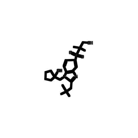 CC(C)(C)Cc1nc2cc(S(=O)(=O)C(C)(C)CO)ccc2n1CC1(O)CCCC1